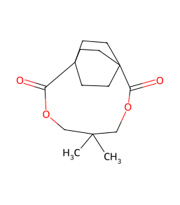 CC1(C)COC(=O)C23CCC(CC2)(CC3)C(=O)OC1